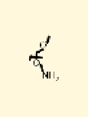 CCOCCC(C)(CC)OCCN